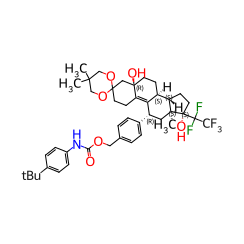 CC1(C)COC2(CCC3=C4[C@@H](CC[C@@]3(O)C2)[C@@H]2CC[C@@](O)(C(F)(F)C(F)(F)F)[C@@]2(C)C[C@@H]4c2ccc(COC(=O)Nc3ccc(C(C)(C)C)cc3)cc2)OC1